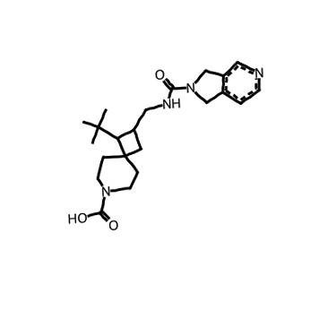 CC(C)(C)C1C(CNC(=O)N2Cc3ccncc3C2)CC12CCN(C(=O)O)CC2